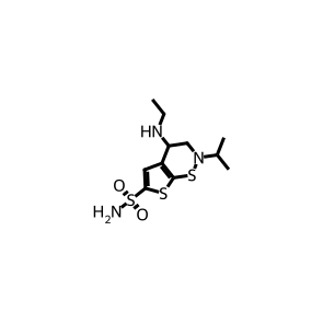 CCNC1CN(C(C)C)Sc2sc(S(N)(=O)=O)cc21